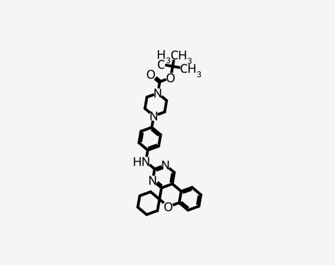 CC(C)(C)OC(=O)N1CCN(c2ccc(Nc3ncc4c(n3)C3(CCCCC3)Oc3ccccc3-4)cc2)CC1